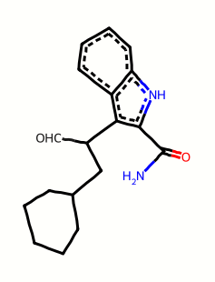 NC(=O)c1[nH]c2ccccc2c1C(C=O)CC1CCCCC1